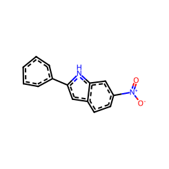 O=[N+]([O-])c1ccc2cc(-c3ccccc3)[nH]c2c1